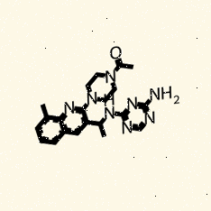 CC(=O)N1CCN(c2nc3c(C)cccc3cc2C(C)Nc2ncnc(N)n2)CC1